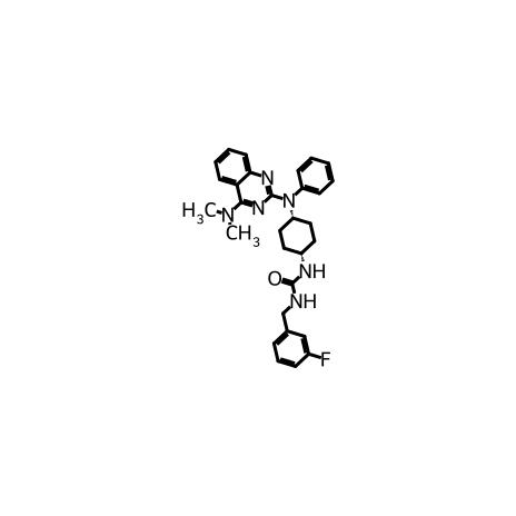 CN(C)c1nc(N(c2ccccc2)[C@H]2CC[C@@H](NC(=O)NCc3cccc(F)c3)CC2)nc2ccccc12